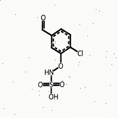 O=Cc1ccc(Cl)c(ONS(=O)(=O)O)c1